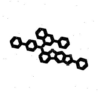 c1ccc(-c2ccc(N(c3cc(-c4ccccc4)cc4ccccc34)c3cccc4c3oc3cc5oc(-c6ccccc6)nc5cc34)cc2)cc1